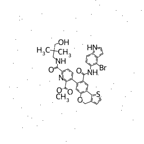 COC(=O)c1nc(C(=O)NCC(C)(C)CO)ccc1-c1cc2c(cc1C(=O)Nc1ccc3[nH]ccc3c1Br)-c1sccc1CO2